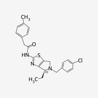 CC[C@H]1c2nc(NC(=O)Cc3ccc(C)cc3)sc2CN1Cc1ccc(Cl)cc1